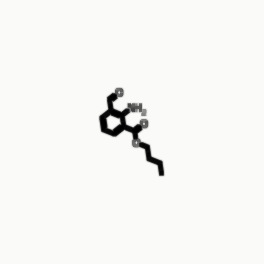 CCCCOC(=O)c1cccc(C=O)c1N